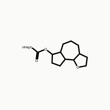 CCCCCCCC(=O)OC1CCC2C1CCCC1CCOC12